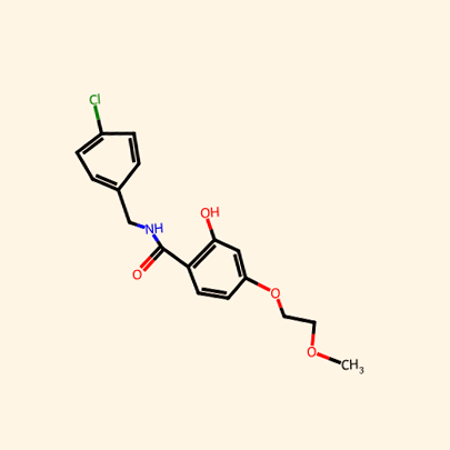 COCCOc1ccc(C(=O)NCc2ccc(Cl)cc2)c(O)c1